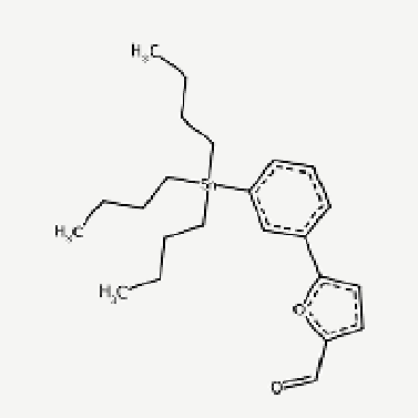 CCC[CH2][Sn]([CH2]CCC)([CH2]CCC)[c]1cccc(-c2ccc(C=O)o2)c1